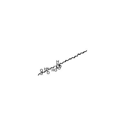 CCC=CCC=CCC=CCC=CCC=CCCCC(=O)N[C@@H](CCCCNC(=O)C=CC(=O)OCC)C(=O)O